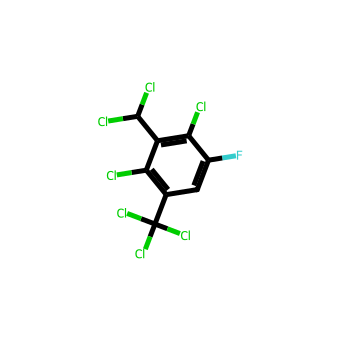 Fc1cc(C(Cl)(Cl)Cl)c(Cl)c(C(Cl)Cl)c1Cl